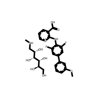 CNC[C@H](O)[C@@H](O)[C@H](O)[C@H](O)CO.COc1cccc(-c2cc(F)c(Nc3ncccc3C(=O)O)c(F)c2)c1